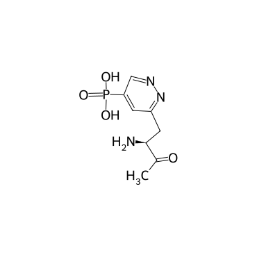 CC(=O)[C@@H](N)Cc1cc(P(=O)(O)O)cnn1